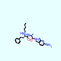 CCCCCN[C@H](CCc1ccccc1)C(=O)N[C@@H](C)C(=O)NCc1ccc(N)nc1C